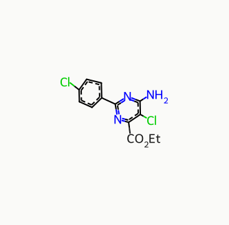 CCOC(=O)c1nc(-c2ccc(Cl)cc2)nc(N)c1Cl